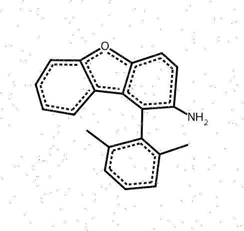 Cc1cccc(C)c1-c1c(N)ccc2oc3ccccc3c12